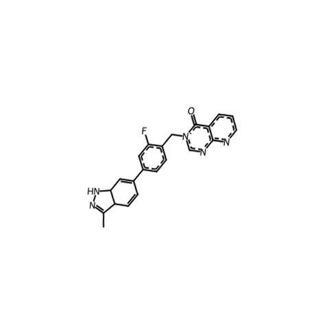 CC1=NNC2C=C(c3ccc(Cn4cnc5ncccc5c4=O)c(F)c3)C=CC12